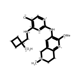 COc1nc2c(cc1Nc1ncc(Cl)c(NCC3(C(=O)O)CCC3)n1)CN(C)CC2